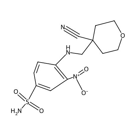 N#CC1(CNc2ccc(S(N)(=O)=O)cc2[N+](=O)[O-])CCOCC1